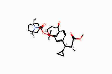 COC(=O)[C@@H](C)[C@H](c1ccc2c(c1)O[C@H](C1C[C@@H]3CC[C@@H](C1)N3C(=O)OC(C)(C)C)CC2=O)C1CC1